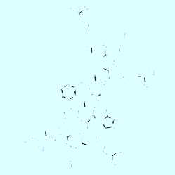 CSCC[C@H](NC(=O)[C@H](CCCNC(=N)N)NC(=O)[C@H](Cc1ccc(O)cc1)NC(=O)[C@H](Cc1c[nH]cn1)NC(=O)[C@H](CC(C)C)NC(=O)[C@H](CCCNC(=N)N)NC(=O)[C@H](CC(C)C)NC(=O)[C@H](CO)NC(=O)[C@@H](N)CCSC)C(=O)N[C@@H](CCCNC(=N)N)C(=O)O